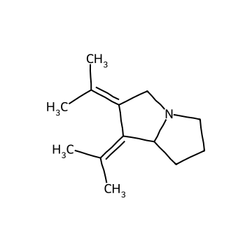 CC(C)=C1CN2CCCC2C1=C(C)C